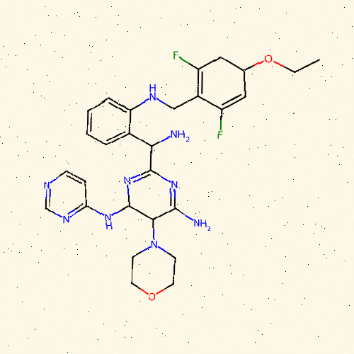 CCOC1C=C(F)C(CNc2ccccc2C(N)C2=NC(Nc3ccncn3)C(N3CCOCC3)C(N)=N2)=C(F)C1